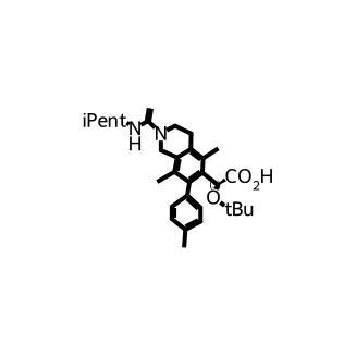 C=C(NC(C)CCC)N1CCc2c(C)c([C@H](OC(C)(C)C)C(=O)O)c(-c3ccc(C)cc3)c(C)c2C1